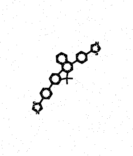 CC1(C)c2cc(-c3ccc(-c4cncs4)cc3)ccc2-c2c1cc(-c1ccc(-c3cncs3)cc1)c1ccccc21